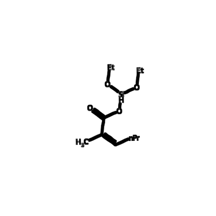 CCCC=C(C)C(=O)O[SiH](OCC)OCC